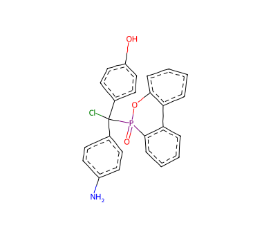 Nc1ccc(C(Cl)(c2ccc(O)cc2)P2(=O)Oc3ccccc3-c3ccccc32)cc1